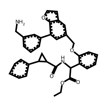 CCOC(=O)C(NC(=O)C1CC1c1ccccc1)c1ccccc1OCc1cc(-c2cccc(CN)c2)c2occc2c1